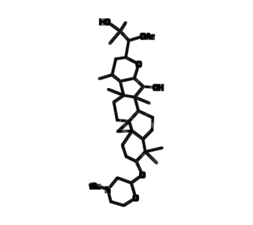 CC(=O)OC(C1CC(C)C2C(O1)C(O)C1(C)C3CCC4C(C)(C)C(OC5CN(C(C)(C)C)CCO5)CCC45CC35CCC21C)C(C)(C)O